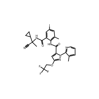 Cc1cccnc1-n1nc(OCC(F)(F)F)cc1C(=O)Nc1c(C)cc(I)cc1C(=O)NC(C)(C#N)C1CC1